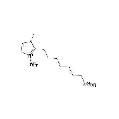 CCCCCCCCCCCCCCCCc1n(C)cc[n+]1CCC